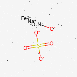 O=S(=O)([O-])[O-].O=[N+]([O-])[O-].[Fe+2].[Na+]